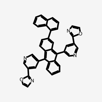 c1ccc2c(-c3ccc4c(-c5cncc(-c6ncco6)c5)c5ccccc5c(-c5cncc(-c6ncco6)c5)c4c3)cccc2c1